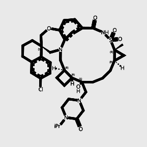 CC(C)N1CCN(C[C@]2(O)CCC[C@@H]3C[C@@]3(C)S(=O)(=O)NC(=O)c3ccc4c(c3)N(C[C@@H]3CC[C@H]32)C[C@@]2(CCCc3cc(Cl)ccc32)CO4)CC1=O